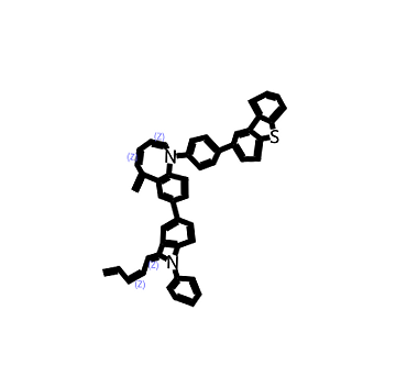 C=C/C=C\C=C1\c2cc(-c3ccc4c(c3)C(=C)/C=C\C=C/N4c3ccc(-c4ccc5sc6ccccc6c5c4)cc3)ccc2N1c1ccccc1